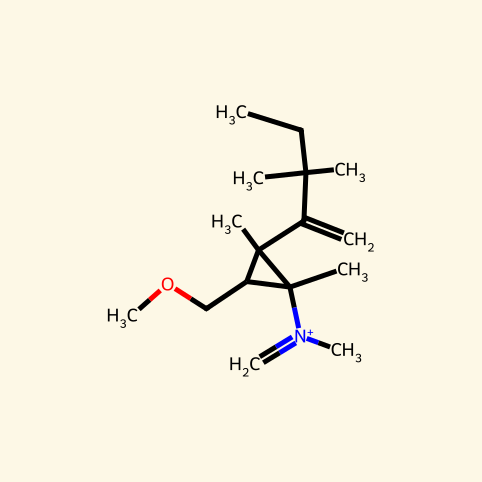 C=C(C(C)(C)CC)C1(C)C(COC)C1(C)[N+](=C)C